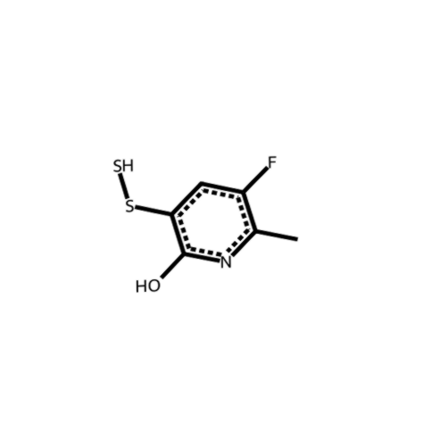 Cc1nc(O)c(SS)cc1F